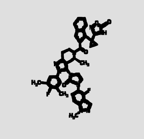 Cc1cc(-n2nc3c(c2-n2ccn(-c4ccc5c(cnn5C)c4F)c2=O)[C@H](C)N(C(=O)c2cn4ccccc4c2C2(c4noc(=O)[nH]4)CC2)CC3)cc(C)c1F